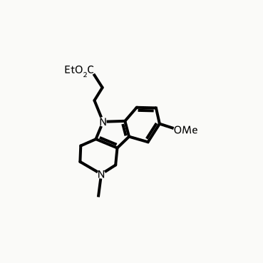 CCOC(=O)CCn1c2c(c3cc(OC)ccc31)CN(C)CC2